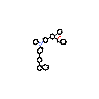 c1ccc(-c2ccc(-c3ccc(N(c4ccccc4)c4ccc(-c5ccc(-c6cccc7ccccc67)cc5)cc4)cc3)cc2-c2cc3ccccc3o2)cc1